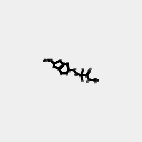 CC(=O)NC1Cc2ccc(SSC(C)(C)C(=O)OC(C)(C)C)cc2C1